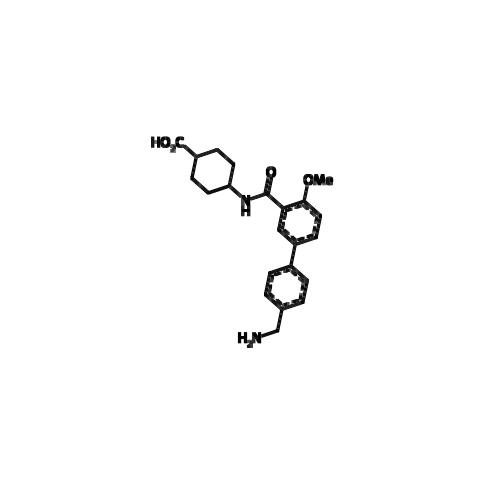 COc1ccc(-c2ccc(CN)cc2)cc1C(=O)NC1CCC(C(=O)O)CC1